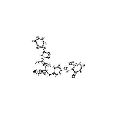 O=C(N[C@@H](Cc1ccc(OCc2c(Cl)cccc2Cl)cc1)C(=O)O)C1CC(c2ccccc2)=NO1